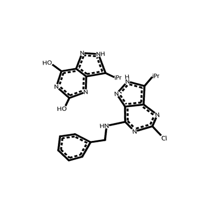 CC(C)c1[nH]nc2c(NCc3ccccc3)nc(Cl)nc12.CC(C)c1[nH]nc2c(O)nc(O)nc12